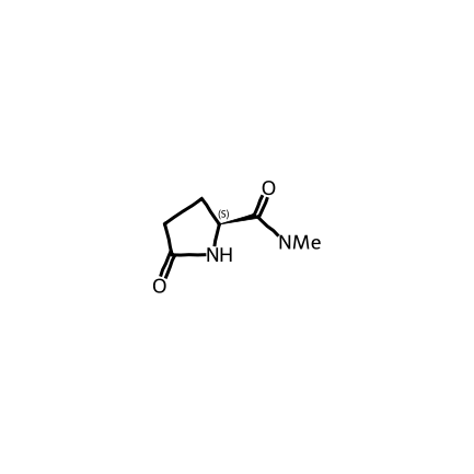 CNC(=O)[C@@H]1CCC(=O)N1